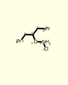 CC(C)CC(CC(C)C)O[SiH2]Cl